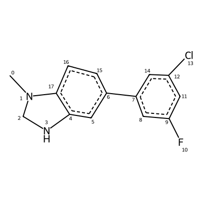 CN1CNc2cc(-c3cc(F)cc(Cl)c3)ccc21